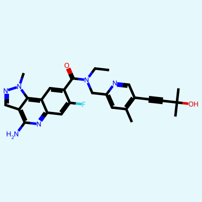 CCN(Cc1cc(C)c(C#CC(C)(C)O)cn1)C(=O)c1cc2c(cc1F)nc(N)c1cnn(C)c12